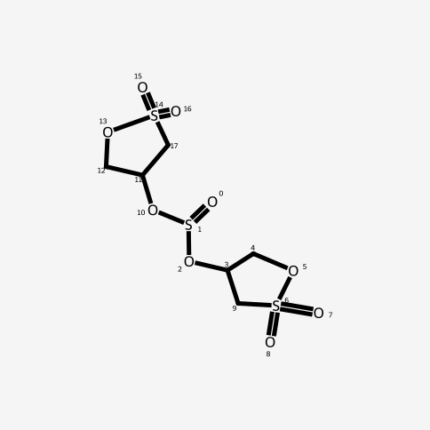 O=S(OC1COS(=O)(=O)C1)OC1COS(=O)(=O)C1